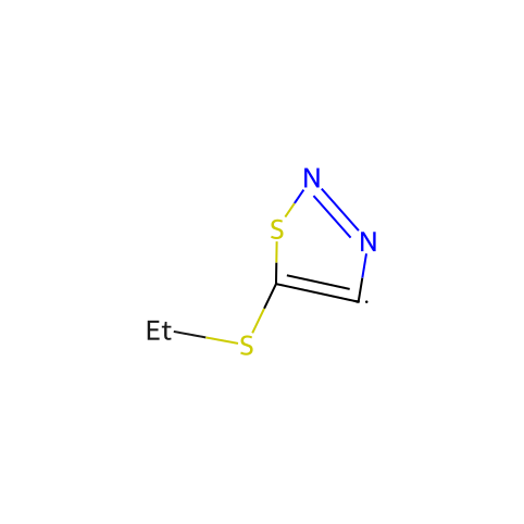 CCSc1[c]nns1